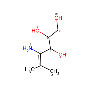 CC(C)=C(N)C(O)C(O)CO